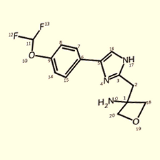 NC1(Cc2nc(-c3ccc(OC(F)F)cc3)c[nH]2)COC1